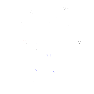 COc1cc(/C(=C\Nc2ncccn2)P(=O)(OC(C)C)OC(C)C)cc(OC)c1O